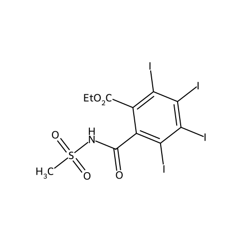 CCOC(=O)c1c(I)c(I)c(I)c(I)c1C(=O)NS(C)(=O)=O